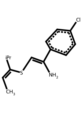 C/C=C(\S/C=C(\N)c1ccc(Cl)cc1)C(C)C